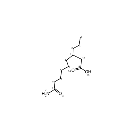 CCCC(CCCCCC(N)=O)CC(=O)O